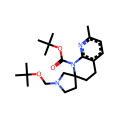 Cc1ccc2c(n1)N(C(=O)OC(C)(C)C)C1(CC2)CCN(COC(C)(C)C)C1